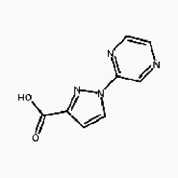 O=C(O)c1ccn(-c2cnccn2)n1